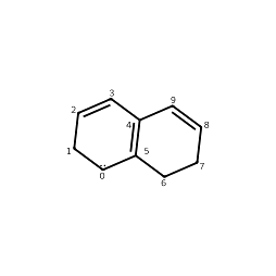 [C]1CC=CC2=C1CCC=C2